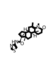 CC1=C2N(C)C(=O)CC[C@]2(C)[C@H]2CC[C@]3(C)[C@@H](C(=O)Nc4cscn4)CC[C@H]3[C@@H]2C1